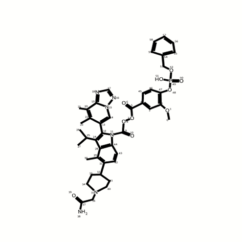 COc1cc(C(=O)OOC(=O)n2c(-c3cn4ncnc4c(C)c3C)c(C(C)C)c3c(C)c(C4CCN(CC(N)=O)CC4)ccc32)ccc1OP(=O)(O)OCc1ccccc1